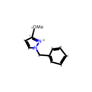 COc1ccn(Cc2ccccc2)n1